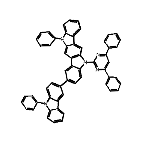 c1ccc(-c2cc(-c3ccccc3)nc(-n3c4ccc(-c5ccc6c(c5)c5ccccc5n6-c5ccccc5)cc4c4cc5c(cc43)c3ccccc3n5-c3ccccc3)n2)cc1